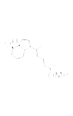 COC(C)CCCC(C)C1CC[C@H]2C(=O)CCC[C@]12C